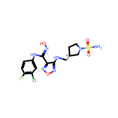 NS(=O)(=O)N1CC[C@@H](CNc2nonc2/C(=N/O)Nc2ccc(F)c(Cl)c2)C1